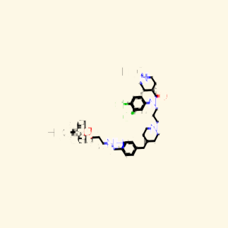 CN1CCC(C(=O)N(CCCN2CCC(Cc3ccc(CNCCCO[Si](C)(C)C(C)(C)C)cc3)CC2)c2ccc(Cl)c(Cl)c2)CC1